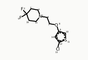 FC1(F)CCN(CCOc2csc(Cl)c2)CC1